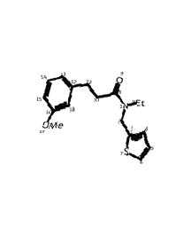 CCN(Cc1cccs1)C(=O)CCc1cccc(OC)c1